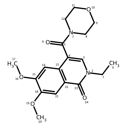 CCn1cc(C(=O)N2CCOCC2)c2cc(OC)c(OC)cc2c1=O